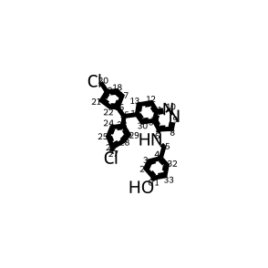 Oc1ccc(CNc2cnnc3ccc(C(c4ccc(Cl)cc4)c4ccc(Cl)cc4)cc23)cc1